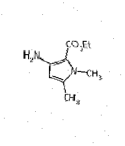 CCOC(=O)c1c(N)cc(C)n1C